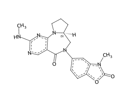 CNc1ncc2c(n1)N1CCC[C@H]1CN(c1ccc3oc(=O)n(C)c3c1)C2=O